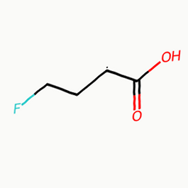 O=C(O)[CH]CCF